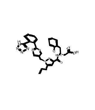 CCCc1cc(C(=O)N[C@@H](CC(=O)O)Cc2ccccc2Cl)nn1Cc1cnc(-c2ccccc2-c2nnn[nH]2)nc1